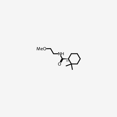 COCCNC(=O)[C@H]1CCCCC1(C)C